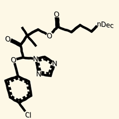 CCCCCCCCCCCCCC(=O)OCC(C)(C)C(=O)C(Oc1ccc(Cl)cc1)n1cncn1